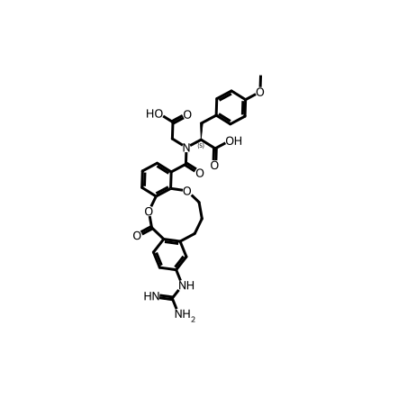 COc1ccc(C[C@@H](C(=O)O)N(CC(=O)O)C(=O)c2cccc3c2OCCCc2cc(NC(=N)N)ccc2C(=O)O3)cc1